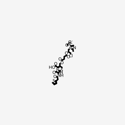 Cc1ncc([N+](=O)[O-])n1CC(CCl)OC(=O)CCC(=O)OCC1=C(C(=O)O)N2C(=O)[C@@H](NC(=O)Cc3cccs3)[C@H]2SC1